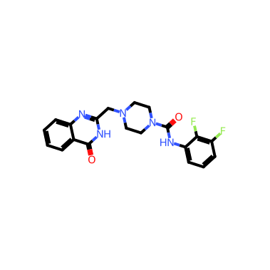 O=C(Nc1cccc(F)c1F)N1CCN(Cc2nc3ccccc3c(=O)[nH]2)CC1